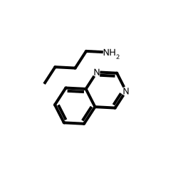 CCCCN.c1ccc2ncncc2c1